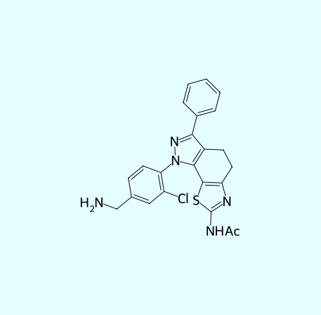 CC(=O)Nc1nc2c(s1)-c1c(c(-c3ccccc3)nn1-c1ccc(CN)cc1Cl)CC2